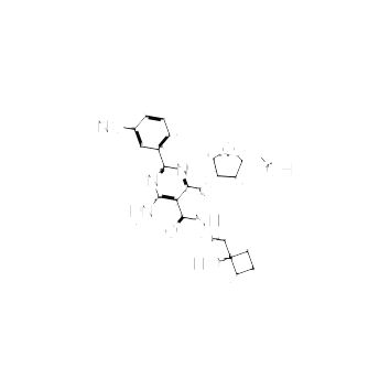 N#Cc1cccc(-c2nc(N)c(C(=O)NOCC3(O)CCC3)c(O[C@@H]3CO[C@H](CO)C3)n2)c1